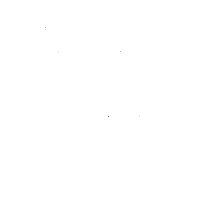 Cc1cc(-c2cc(C(F)(F)F)nc(-c3ccnc(-c4ccc(N)nc4)c3)n2)ccc1Cl